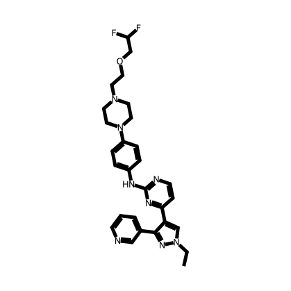 CCn1cc(-c2ccnc(Nc3ccc(N4CCN(CCOCC(F)F)CC4)cc3)n2)c(-c2cccnc2)n1